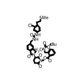 CSCCc1ccc(NC(=O)NCc2ccc3c(c2)CN(C2CCC(=O)N(COC(=O)c4ccccc4CN(C)C(=O)OC(C)(C)C)C2=O)C3=O)cc1Cl